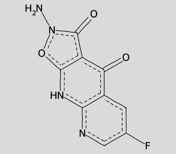 Nn1oc2[nH]c3ncc(F)cc3c(=O)c2c1=O